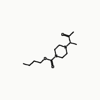 CCCCOC(=O)N1CCN(C(C)C(C)=O)CC1